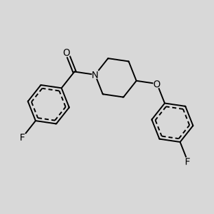 O=C(c1ccc(F)cc1)N1CCC(Oc2ccc(F)cc2)CC1